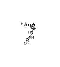 NC(=O)c1ccc2c(c1)nc(NCCNCC1CC(NCc3ccc(-c4ccccc4)c(Cl)c3)C1)c1ccncc12